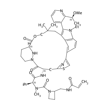 C=CC(=O)NCC1CCN1C(=O)N(C)[C@H](C(=O)N[C@H]1Cc2nc(cs2)-c2ccc3c(c2)c(c(-c2cccnc2[C@H](C)OC)n3CC)CC(C)(C)COC(=O)[C@@H]2CCCN(N2)C1=O)C(C)C